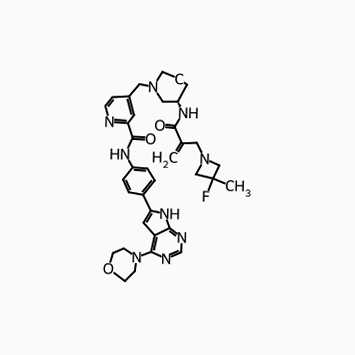 C=C(CN1CC(C)(F)C1)C(=O)N[C@@H]1CCCN(Cc2ccnc(C(=O)Nc3ccc(-c4cc5c(N6CCOCC6)ncnc5[nH]4)cc3)c2)C1